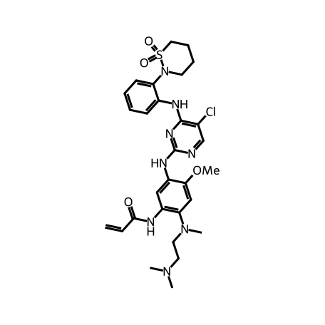 C=CC(=O)Nc1cc(Nc2ncc(Cl)c(Nc3ccccc3N3CCCCS3(=O)=O)n2)c(OC)cc1N(C)CCN(C)C